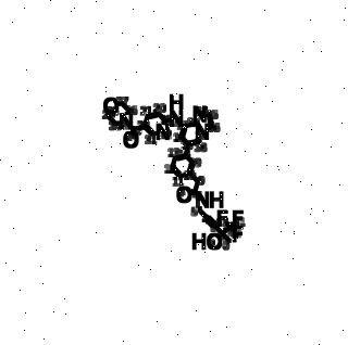 CC(O)(C#CCNC(=O)Cc1cccc(-c2cc(Nc3ccc(C(=O)N4CCOCC4)cn3)c3nccn3c2)c1)C(F)(F)F